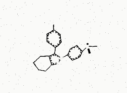 CS(=O)(=O)c1ccc(-n2nc3c(c2-c2ccc(F)cc2)CCCC3)cc1